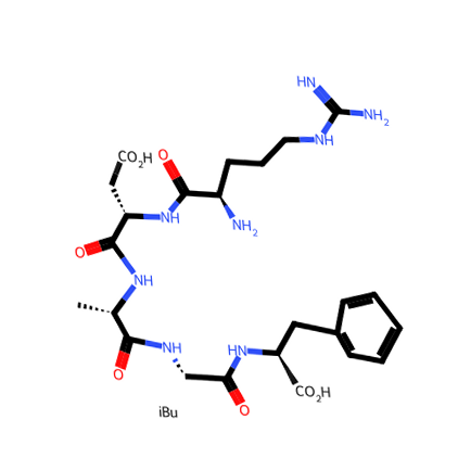 CC[C@H](C)[C@H](NC(=O)[C@H](C)NC(=O)[C@H](CC(=O)O)NC(=O)[C@H](N)CCCNC(=N)N)C(=O)N[C@@H](Cc1ccccc1)C(=O)O